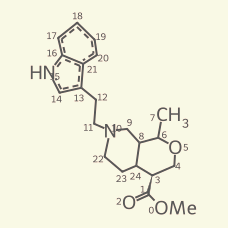 COC(=O)[C@@H]1COC(C)C2CN(CCc3c[nH]c4ccccc34)CCC21